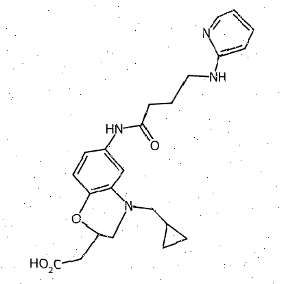 O=C(O)CC1CN(CC2CC2)c2cc(NC(=O)CCCNc3ccccn3)ccc2O1